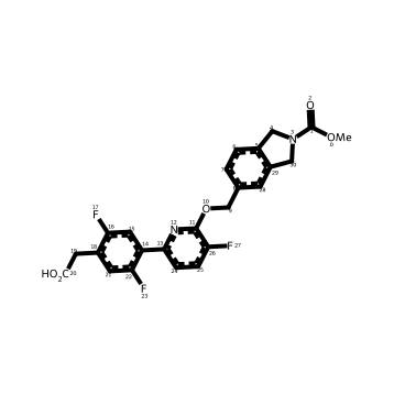 COC(=O)N1Cc2ccc(COc3nc(-c4cc(F)c(CC(=O)O)cc4F)ccc3F)cc2C1